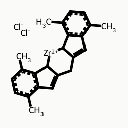 Cc1ccc(C)c2c1C=C1CC3=Cc4c(C)ccc(C)c4[CH]3[Zr+2][CH]12.[Cl-].[Cl-]